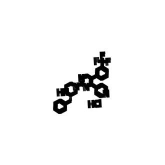 Cl.FC(F)(F)c1cccc(-c2cnc(N3CCN[C@@H](Cc4ccccc4)C3)nc2-c2ccncc2)c1